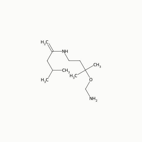 C=C(CC(C)C)NCCC(C)(C)OCN